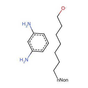 CCCCCCCCCCCCCCCC[O].Nc1cccc(N)c1